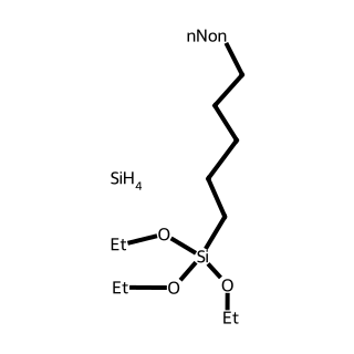 CCCCCCCCCCCCCC[Si](OCC)(OCC)OCC.[SiH4]